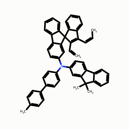 C=CC1=C(/C=C\C)c2ccccc2C12c1ccccc1-c1ccc(N(c3ccc(-c4ccc(C)cc4)cc3)c3ccc4c(c3)C(C)(C)c3ccccc3-4)cc12